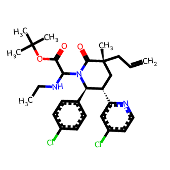 C=CC[C@]1(C)C[C@H](c2cc(Cl)ccn2)[C@@H](c2ccc(Cl)cc2)N(C(NCC)C(=O)OC(C)(C)C)C1=O